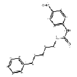 O=[C]c1ccc(NC(=O)OCCCCCc2ccccc2)cc1